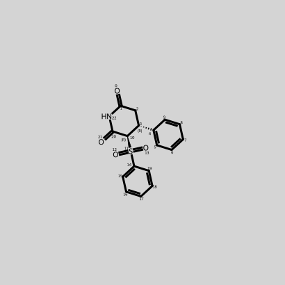 O=C1C[C@H](c2ccccc2)[C@@H](S(=O)(=O)c2ccccc2)C(=O)N1